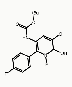 CCN1C(c2ccc(F)cc2)=C(NC(=O)OC(C)(C)C)C=C(Cl)C1O